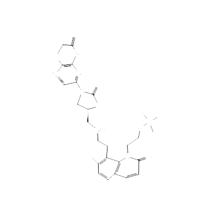 CC(C)(C)[Si](C)(C)OCCn1c(=O)ccc2ccc(F)c(CCNC[C@H]3CN(c4cnc5c(n4)NC(=O)CO5)C(=O)O3)c21